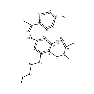 C=C(C)c1ccc(C)cc1-c1c(O)cc(CCCCC)c(CN(C)C(C)=O)c1O